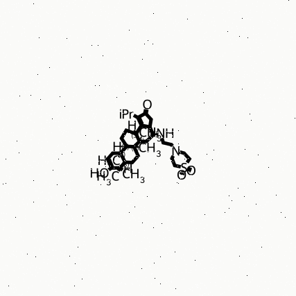 CC(C)C1=C2C(CC1=O)[C@@H](NCCN1CCS(=O)(=O)CC1)C[C@]1(C)[C@@H]2CC[C@@H]2[C@@]3(C)CC=C(O)C(C)(C)[C@@H]3CC[C@]21C